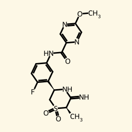 COc1cnc(C(=O)Nc2ccc(F)c([C@@H]3CS(=O)(=O)[C@H](C)C(=N)N3)c2)cn1